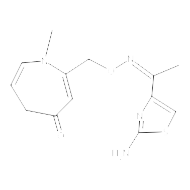 C/C(=N/OCC1=CC(=O)CC=CN1C)c1csc(N)n1